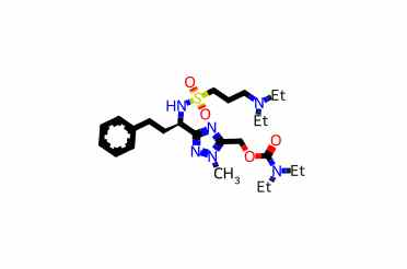 CCN(CC)CCCS(=O)(=O)N[C@H](CCc1ccccc1)c1nc(COC(=O)N(CC)CC)n(C)n1